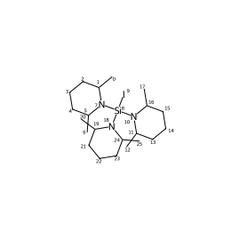 CC1CCCC(C)N1[Si](I)(N1C(C)CCCC1C)N1C(C)CCCC1C